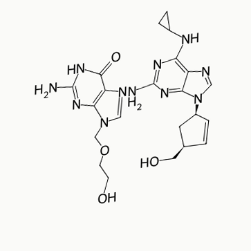 Nc1nc(NC2CC2)c2ncn([C@H]3C=C[C@@H](CO)C3)c2n1.Nc1nc2c(ncn2COCCO)c(=O)[nH]1